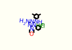 Cc1cc(C)cc(NC2N=C(N)N=C(N3CCOCC3)N2c2cccc(F)c2)c1.Cl